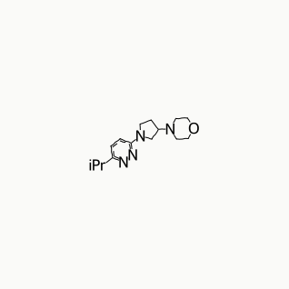 CC(C)c1ccc(N2CCC(N3CCOCC3)C2)nn1